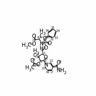 COC(=O)[C@H](C)NP(=O)(OC[C@H]1O[C@@H]([n+]2cccc(C(N)=O)c2)[C@H](OC(C)=O)[C@@H]1C)Oc1ccccc1